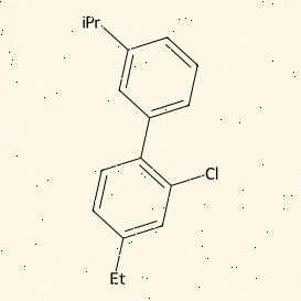 CCc1ccc(-c2cccc(C(C)C)c2)c(Cl)c1